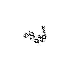 Cc1ccc(NC(=O)c2ccnc(N3CCOCC3)c2)cc1-n1cnc2ccc(N(C)CCCN(C)C)cc2c1=O